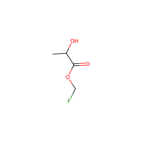 CC(O)C(=O)OCF